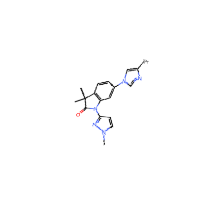 CC(C)c1cn(-c2ccc3c(c2)N(c2ccn(C)n2)C(=O)C3(C)C)cn1